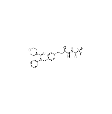 O=C(CCc1ccc(CN(C(=O)N2CCOCC2)c2ccccc2)cc1)NNC(=O)C(F)(F)F